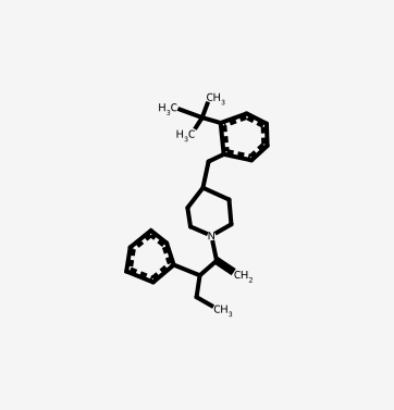 C=C(C(CC)c1ccccc1)N1CCC(Cc2ccccc2C(C)(C)C)CC1